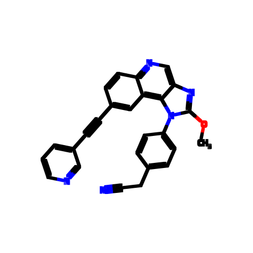 COc1nc2cnc3ccc(C#Cc4cccnc4)cc3c2n1-c1ccc(CC#N)cc1